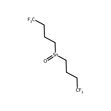 [O]=[Sn]([CH2]CCC(F)(F)F)[CH2]CCC(F)(F)F